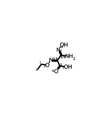 CCON=C(C(=O)O)C(N)=NO